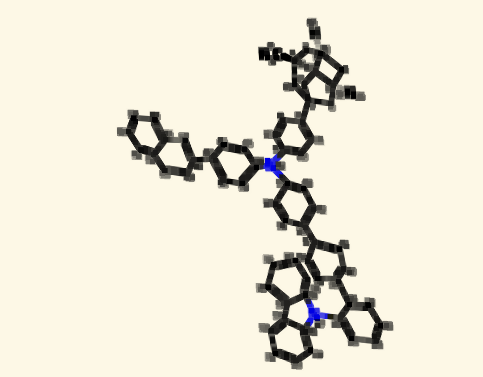 C[C@H]1C[C@H]2C[C@H]3CC(c4ccc(N(c5ccc(-c6ccc(-c7ccccc7-n7c8ccccc8c8ccccc87)cc6)cc5)c5ccc(-c6ccc7ccccc7c6)cc5)cc4)(CC23)C1